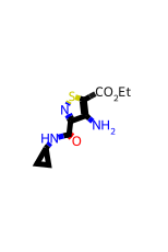 CCOC(=O)c1snc(C(=O)NC2CC2)c1N